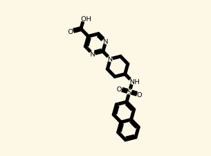 O=C(O)c1cnc(N2CCC(NS(=O)(=O)c3ccc4ccccc4c3)CC2)nc1